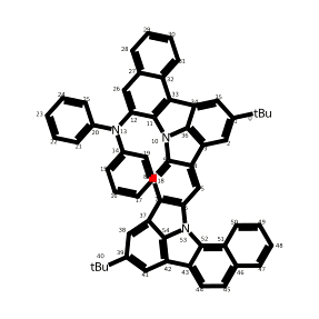 CC(C)(C)c1cc2c3cc4c(nc3n3c5c(N(c6ccccc6)c6ccccc6)cc6ccccc6c5c(c1)c23)c1cc(C(C)(C)C)cc2c3ccc5ccccc5c3n4c21